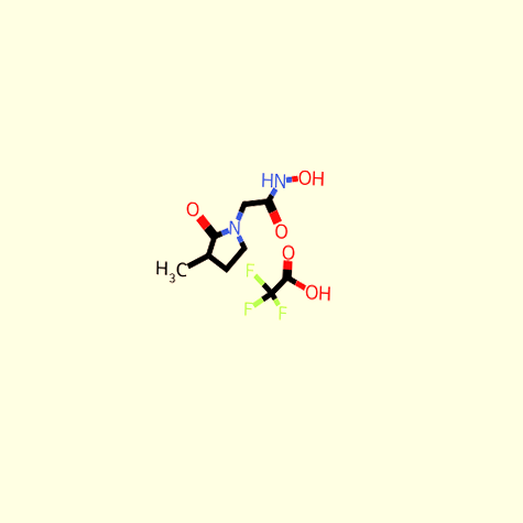 CC1CCN(CC(=O)NO)C1=O.O=C(O)C(F)(F)F